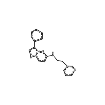 c1ccc(-c2cnc3ccc(NCCc4cccnc4)nn23)cc1